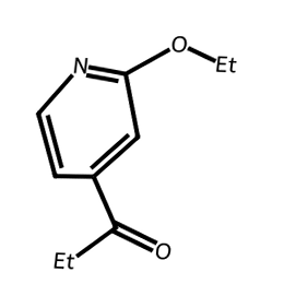 [CH2]CC(=O)c1ccnc(OCC)c1